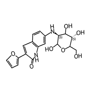 O=c1[nH]c2cc(N[C@@H]3C(O)OC(CO)[C@@H](O)C3O)ccc2cc1-c1ccco1